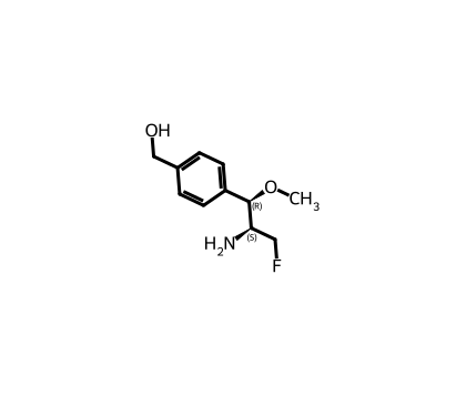 CO[C@H](c1ccc(CO)cc1)[C@H](N)CF